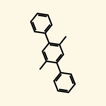 Cc1cc(-c2ccccc2)c(C)cc1-c1ccccc1